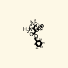 C[N+](C)(C)C(OS(C)(=O)=O)[C@H](N)CC(=O)OCc1ccccc1